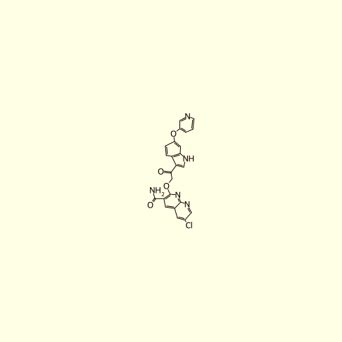 NC(=O)c1cc2cc(Cl)cnc2nc1OCC(=O)c1c[nH]c2cc(Oc3cccnc3)ccc12